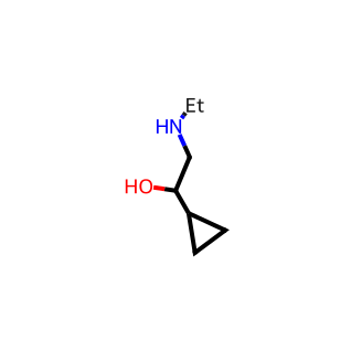 CCNCC(O)C1CC1